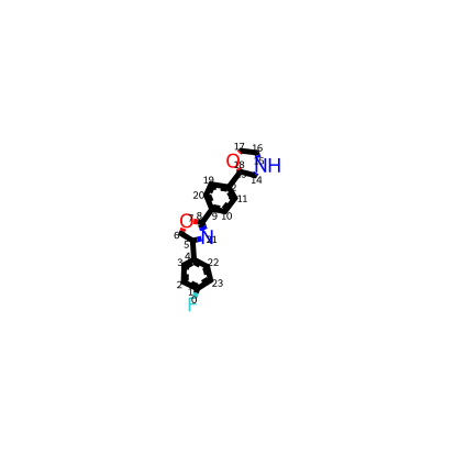 Fc1ccc(C2COC(c3ccc(C4CNCCO4)cc3)=N2)cc1